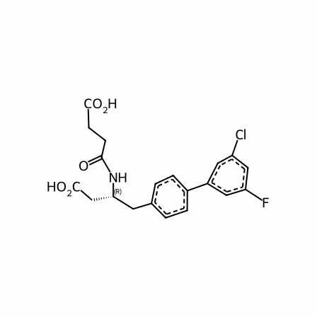 O=C(O)CCC(=O)N[C@@H](CC(=O)O)Cc1ccc(-c2cc(F)cc(Cl)c2)cc1